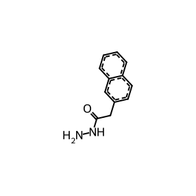 NNC(=O)Cc1ccc2ccccc2c1